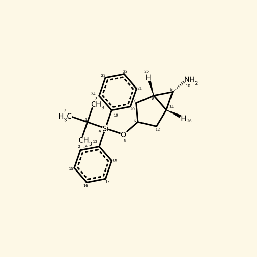 CC(C)(C)[Si](OC1C[C@@H]2[C@H](N)[C@@H]2C1)(c1ccccc1)c1ccccc1